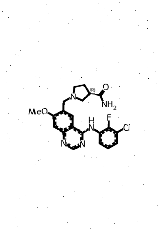 COc1cc2ncnc(Nc3cccc(Cl)c3F)c2cc1CN1CC[C@@H](C(N)=O)C1